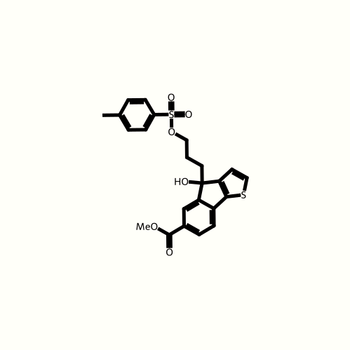 COC(=O)c1ccc2c(c1)C(O)(CCCOS(=O)(=O)c1ccc(C)cc1)c1ccsc1-2